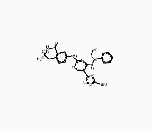 CC1(C)Cc2ccc(Nc3ncc(-c4nc(C(C)(C)C)no4)c(N[C@H](CO)c4ccccc4)n3)cc2C(=O)N1